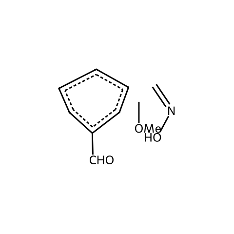 C=NO.COC.O=Cc1ccccc1